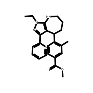 CCn1nc(-c2ccccn2)c2c1NCCCC2c1ccc(C(=O)OC)cc1C